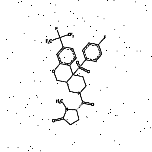 CN1C(=O)CC[C@H]1C(=O)N1CCC2(S(=O)(=O)c3ccc(F)cc3)c3ccc(C(F)(C(F)(F)F)C(F)(F)F)cc3OCC2C1